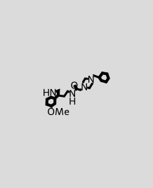 COc1ccc2[nH]cc(CCNC(=O)CN3CCN(Cc4ccccc4)CC3)c2c1